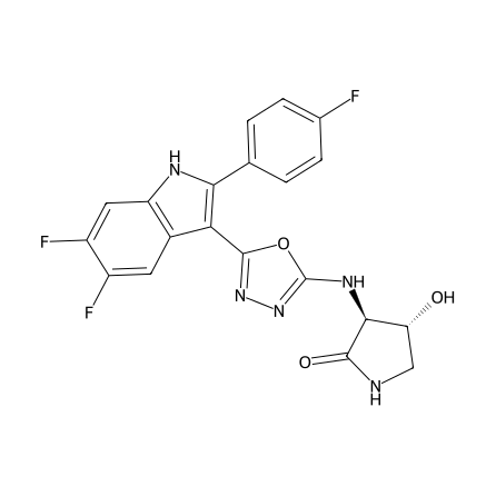 O=C1NC[C@@H](O)[C@@H]1Nc1nnc(-c2c(-c3ccc(F)cc3)[nH]c3cc(F)c(F)cc23)o1